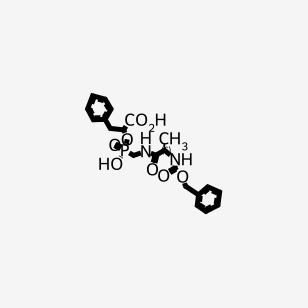 C[C@H](NC(=O)OCc1ccccc1)C(=O)NCP(=O)(O)OC(Cc1ccccc1)C(=O)O